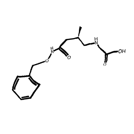 C[C@@H](CNC(=O)O)CC(=O)NOCc1ccccc1